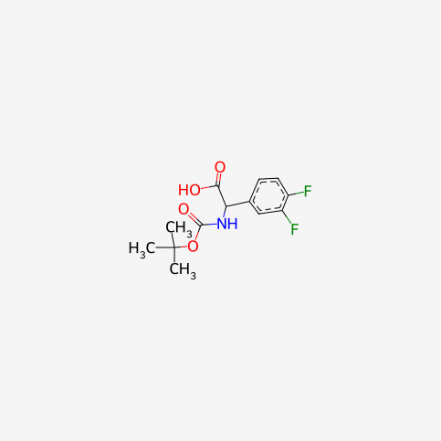 CC(C)(C)OC(=O)NC(C(=O)O)c1ccc(F)c(F)c1